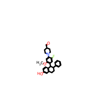 COc1cc(N2CCC(C=O)CC2)c(F)cc1C1c2ccc(O)cc2CCC1c1ccccc1